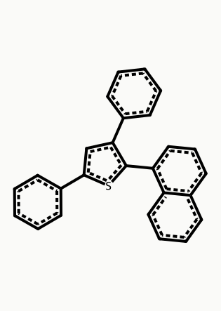 c1ccc(-c2cc(-c3ccccc3)c(-c3cccc4ccccc34)s2)cc1